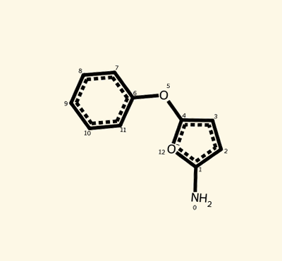 Nc1ccc(Oc2ccccc2)o1